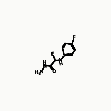 NNC(=O)C(F)Nc1ccc(F)cc1